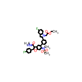 CCOC(=O)Cn1c(-c2cccc(-c3cc4c(C(=O)NC)c(-c5ccc(F)cc5)oc4cc3N(C)S(C)(=O)=O)c2)cc2cc(F)ccc21